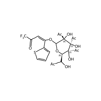 CC(=O)C(O)[C@H]1OC(OC(=CC(=O)C(F)(F)F)c2cccs2)[C@@](O)(C(C)=O)[C@](O)(C(C)=O)[C@]1(O)C(C)=O